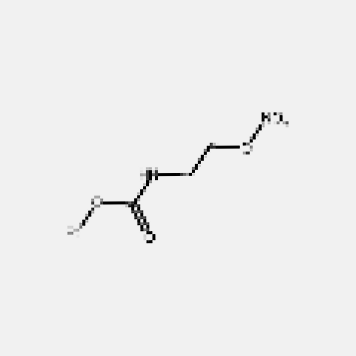 [CH2]COC(=O)NCCO[N+](=O)[O-]